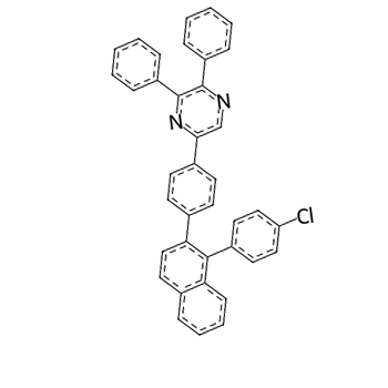 Clc1ccc(-c2c(-c3ccc(-c4cnc(-c5ccccc5)c(-c5ccccc5)n4)cc3)ccc3ccccc23)cc1